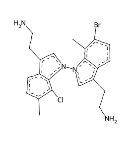 Cc1ccc2c(CCN)cn(-n3cc(CCN)c4ccc(Br)c(C)c43)c2c1Cl